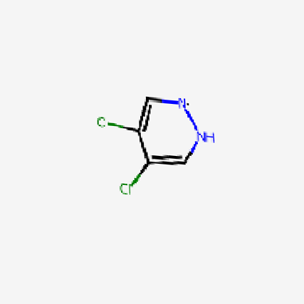 ClC1=C[N]NC=C1Cl